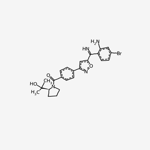 CC(C)(O)[C@@H]1CCCN1C(=O)c1ccc(-c2cc(C(=N)c3ccc(Br)cc3N)on2)cc1